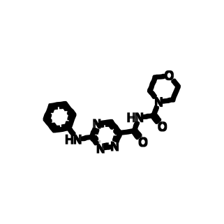 O=C(NC(=O)N1CCOCC1)c1cnc(Nc2ccccc2)nn1